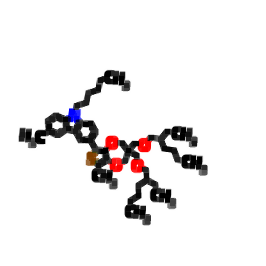 CCCCCCn1c2ccc(C)cc2c2cc(-c3sc(C)c4c3OCC(COCC(CC)CCCC)(COCC(CC)CCCC)CO4)ccc21